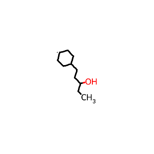 CCC(O)CCC1CC[CH]CC1